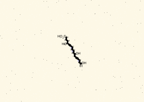 CC[C@@H](O)/C=C/C#CC[C@@H](O)/C=C/C=C/C#C[C@@H](O)CCCC(=O)O